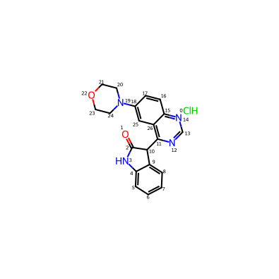 Cl.O=C1Nc2ccccc2C1c1ncnc2ccc(N3CCOCC3)cc12